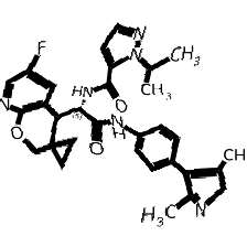 CC1=NCC(C)=C1c1ccc(NC(=O)[C@@H](NC(=O)c2ccnn2C(C)C)C2c3cc(F)cnc3OCC23CC3)cc1